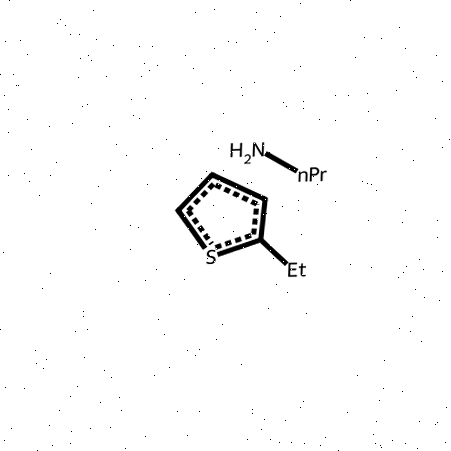 CCCN.CCc1cccs1